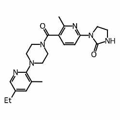 CCc1cnc(N2CCN(C(=O)c3ccc(N4CCNC4=O)nc3C)CC2)c(C)c1